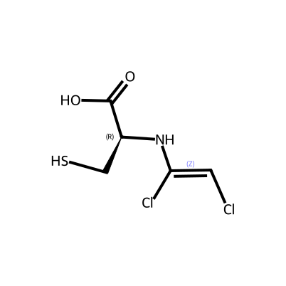 O=C(O)[C@H](CS)N/C(Cl)=C/Cl